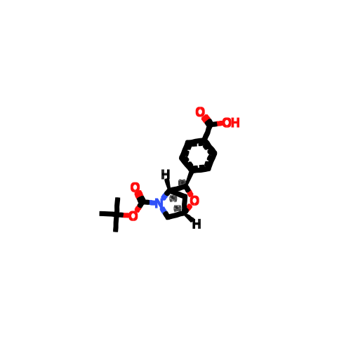 CC(C)(C)OC(=O)N1C[C@@H]2C[C@H]1[C@@H](c1ccc(C(=O)O)cc1)O2